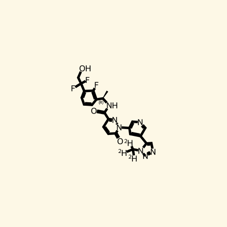 [2H]C([2H])([2H])n1nncc1-c1cncc(-n2nc(C(=O)N[C@H](C)c3cccc(C(F)(F)CO)c3F)ccc2=O)c1